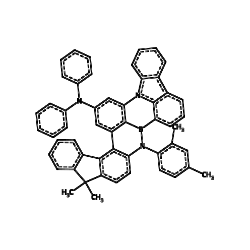 Cc1ccc(N2B3c4c(cc(N(c5ccccc5)c5ccccc5)cc4-n4c5ccccc5c5cccc3c54)-c3c2ccc2c3-c3ccccc3C2(C)C)c(C)c1